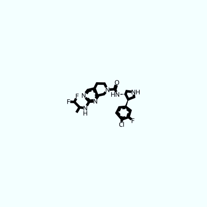 CC(Nc1ncc2c(n1)CN(C(=O)N[C@@H]1CNC[C@H]1c1ccc(Cl)c(F)c1)CC2)C(F)F